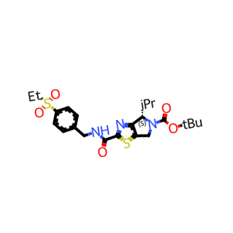 CCS(=O)(=O)c1ccc(CNC(=O)c2nc3c(s2)CN(C(=O)OC(C)(C)C)[C@H]3C(C)C)cc1